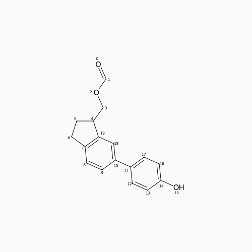 O=COCC1CCc2ccc(-c3ccc(O)cc3)cc21